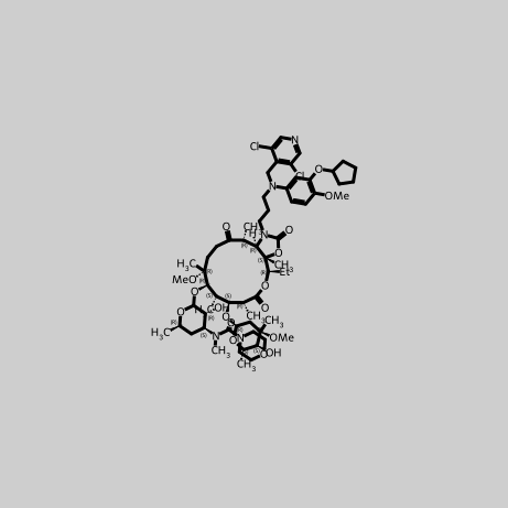 CC[C@H]1OC(=O)[C@H](C)[C@@H](O[C@H]2C[C@@](C)(OC)[C@@H](O)[C@H](C)O2)[C@H](C)[C@@H](OC2O[C@H](C)C[C@H](N(C)C(=O)N3CCOCC3)[C@H]2O)[C@](C)(OC)CCC(=O)[C@H](C)[C@H]2N(CCCN(Cc3c(Cl)cncc3Cl)c3ccc(OC)c(OC4CCCC4)c3)C(=O)O[C@]12C